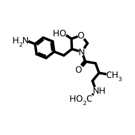 CC(CNC(=O)O)CC(=O)N1COC(O)C1Cc1ccc(N)cc1